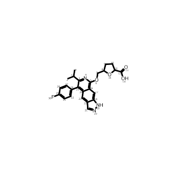 CC(C)c1nc(OCC2CCC(C(=O)O)O2)c2cc3[nH]ncc3cc2c1-c1ccc(F)cc1